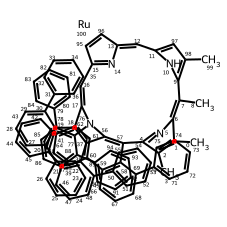 CC1=C(C)c2nc1c(C)c1[nH]c(cc3nc(cc4c(-c5c(-c6ccccc6)cccc5-c5ccccc5)c(-c5c(-c6ccccc6)cccc5-c5ccccc5)c(c2-c2c(-c5ccccc5)cccc2-c2ccccc2)n4-c2c(-c4ccccc4)cccc2-c2ccccc2)C=C3)cc1C.[Ru]